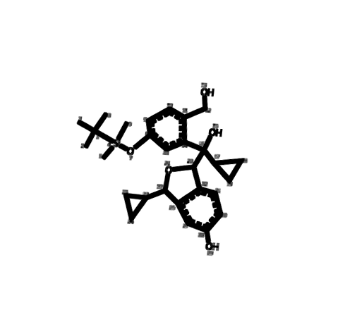 CC(C)(C)[Si](C)(C)Oc1ccc(CO)c(C(O)(C2CC2)C2OC(C3CC3)c3cc(O)ccc32)c1